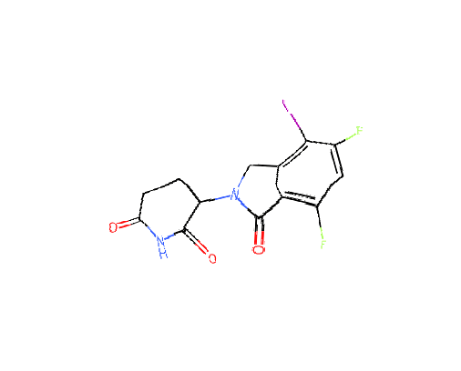 O=C1CCC(N2Cc3c(I)c(F)cc(F)c3C2=O)C(=O)N1